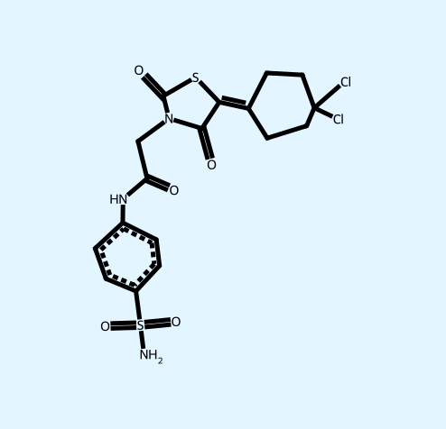 NS(=O)(=O)c1ccc(NC(=O)CN2C(=O)SC(=C3CCC(Cl)(Cl)CC3)C2=O)cc1